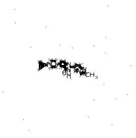 Cc1cn2nc(-c3nc4ccc(N5CCN(C6CC6)CC5)cc4c(=O)[nH]3)ccc2n1